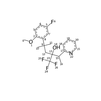 COc1ccc(F)cc1C(C)(C)CC(O)(C(C)c1ccccn1)C(F)(F)F